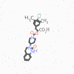 Cc1cc(C[C@@H](OC(=O)N2CCC(N3CCc4ccccc4NC3=O)CC2)C(=O)O)cc(C)c1Cl